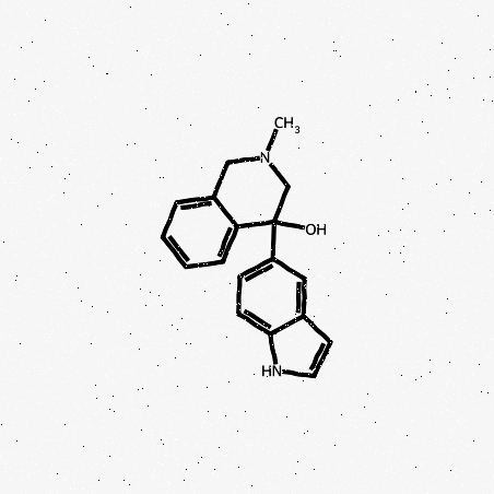 CN1Cc2ccccc2C(O)(c2ccc3[nH]ccc3c2)C1